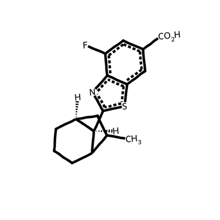 CC1C[C@@H]2CCCC1[C@@H]2c1nc2c(F)cc(C(=O)O)cc2s1